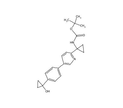 CC(C)(C)OC(=O)NC1(c2ccc(-c3ccc(C4(O)CC4)cc3)cn2)CC1